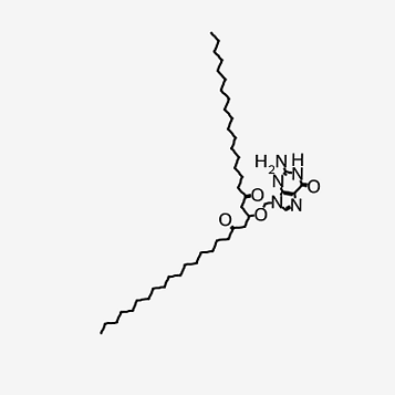 CCCCCCCCCCCCCCCCCC(=O)CC(CC(=O)CCCCCCCCCCCCCCCCC)OCn1cnc2c(=O)[nH]c(N)nc21